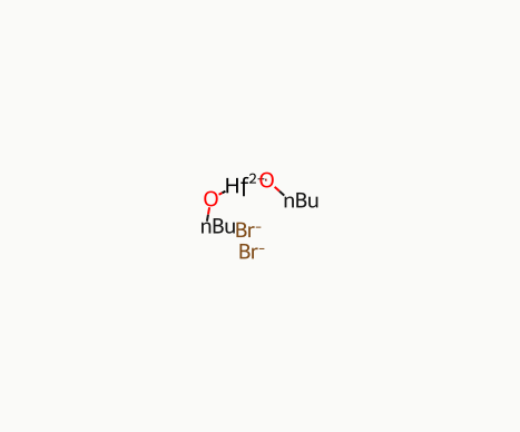 CCCC[O][Hf+2][O]CCCC.[Br-].[Br-]